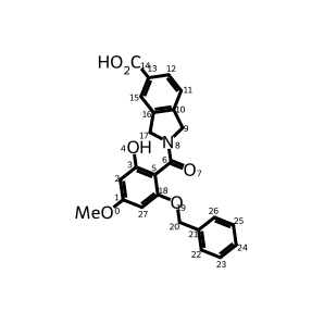 COc1cc(O)c(C(=O)N2Cc3ccc(C(=O)O)cc3C2)c(OCc2ccccc2)c1